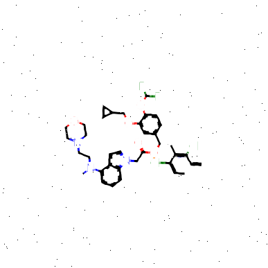 C=C/C(Cl)=C(C[C@H](OC(=O)Cn1ccc2c(N(C)CCN3CCOCC3)cccc21)c1ccc(OC(F)F)c(OCC2CC2)c1)\C(Cl)=C/C